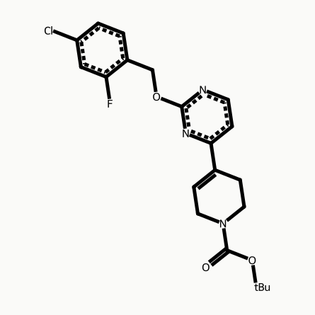 CC(C)(C)OC(=O)N1CC=C(c2ccnc(OCc3ccc(Cl)cc3F)n2)CC1